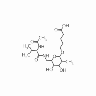 CC(=O)N[C@@H](C(=O)NCC1OC(OCCCCC(=O)O)C(C)C(O)C1O)C(C)C